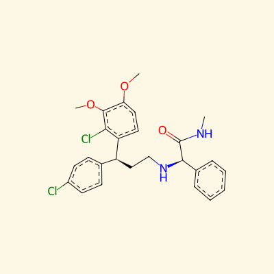 CNC(=O)[C@H](NCC[C@@H](c1ccc(Cl)cc1)c1ccc(OC)c(OC)c1Cl)c1ccccc1